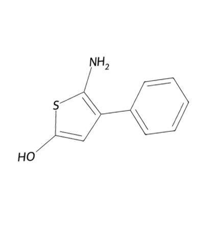 Nc1sc(O)cc1-c1ccccc1